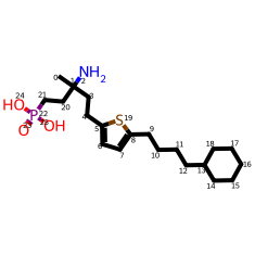 CC(N)(CCc1ccc(CCCCC2CCCCC2)s1)CCP(=O)(O)O